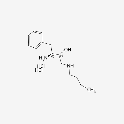 CCCCNC[C@@H](O)[C@@H](N)Cc1ccccc1.Cl.Cl